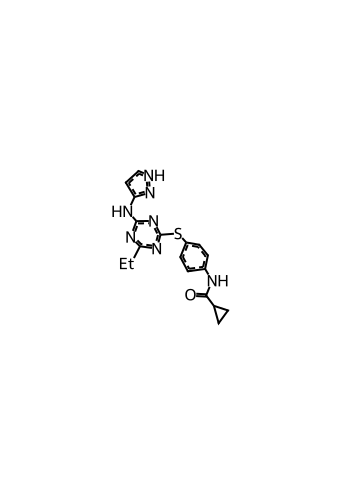 CCc1nc(Nc2cc[nH]n2)nc(Sc2ccc(NC(=O)C3CC3)cc2)n1